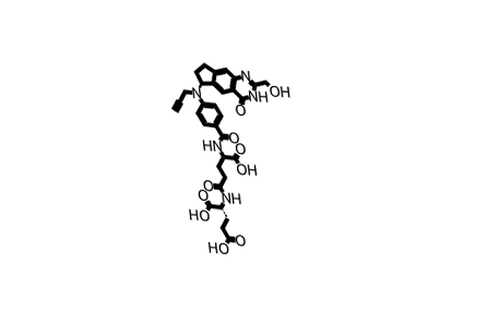 C#CCN(c1ccc(C(=O)NC(CCC(=O)N[C@H](CCC(=O)O)C(=O)O)C(=O)O)cc1)[C@H]1CCc2cc3nc(CO)[nH]c(=O)c3cc21